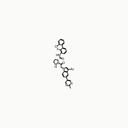 CC(=O)c1cn(CC(=O)N2NCC[C@@H]2C(=O)Nc2cccc(-c3ccccc3Cl)c2F)c2ccc(-c3cnc(C)nc3)cc12